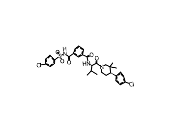 CC(C)[C@@H](NC(=O)c1cccc(C(=O)NS(=O)(=O)c2ccc(Cl)cc2)c1)C(=O)N1CC[C@H](c2ccc(Cl)cc2)C(C)(C)C1